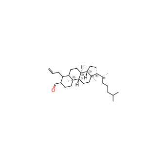 C=CCC1C(C=O)CC[C@@]2(C)C1CC[C@H]1[C@@H]3CC[C@H]([C@H](C)CCCC(C)C)[C@@]3(C)CC[C@@H]12